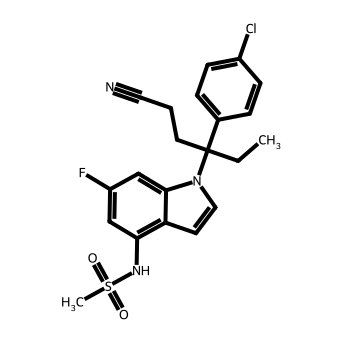 CCC(CCC#N)(c1ccc(Cl)cc1)n1ccc2c(NS(C)(=O)=O)cc(F)cc21